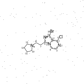 Clc1nccn2c(CCN3CCCC3)nc(Br)c12